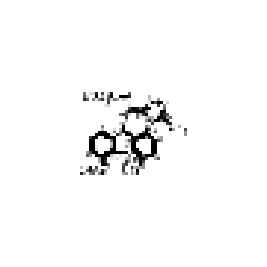 CCOC(=O)C[C@H]1O[C@H](c2cccc(OC)c2OCC)c2cc(Cl)ccc2-n2c1nnc2C(F)(F)F